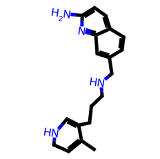 CC1=CCNC=C1CCCNCc1ccc2ccc(N)nc2c1